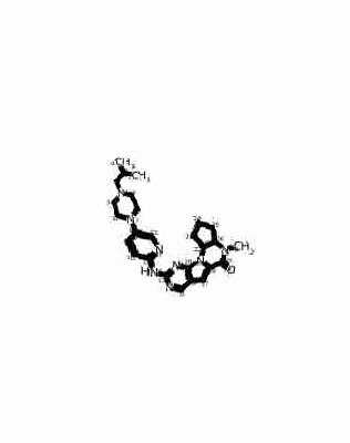 CC(C)CN1CCN(c2ccc(Nc3ncc4cc5n(c4n3)C3CCCC3N(C)C5=O)nc2)CC1